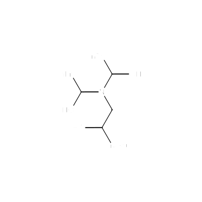 CCCCCCCCC(O)CN(C(O)CCC)C(O)CCC